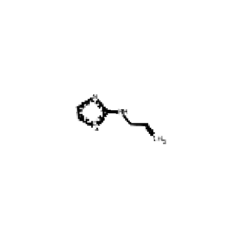 C=CCNc1n[c]cs1